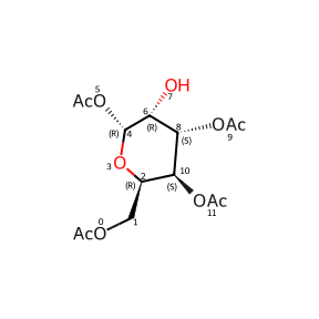 CC(=O)OC[C@H]1O[C@H](OC(C)=O)[C@H](O)[C@H](OC(C)=O)[C@H]1OC(C)=O